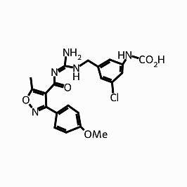 COc1ccc(-c2noc(C)c2C(=O)/N=C(/N)NCc2cc(Cl)cc(NC(=O)O)c2)cc1